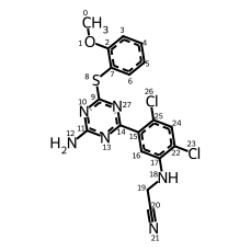 COc1ccccc1Sc1nc(N)nc(-c2cc(NCC#N)c(Cl)cc2Cl)n1